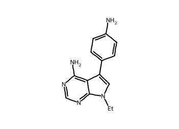 CCn1cc(-c2ccc(N)cc2)c2c(N)ncnc21